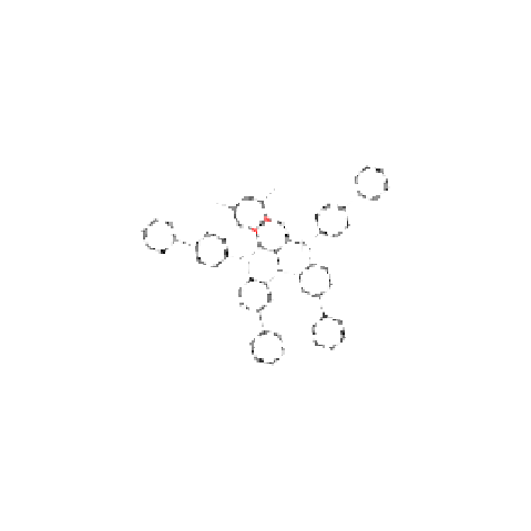 Cc1ccc(-c2cc(-c3ccccc3)ccc2N2c3ccc(-c4ccccc4)cc3B3c4cc(-c5ccccc5)ccc4N(c4ccc(-c5ccccc5)cc4)c4cccc2c43)c(C)c1